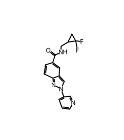 O=C(NCC1CC1(F)F)c1ccc2nn(-c3cccnc3)cc2c1